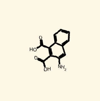 Nc1cc2ccccc2c(C(=O)O)c1C(=O)O